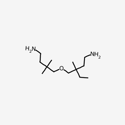 CCC(C)(CCN)COCC(C)(C)CCN